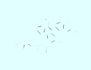 C/C=C(\C=C/C(=C/CC)OC1CCCN(C/C=C/C(=O)NC(C)(C)C)C1)C(=C(/CC(F)(F)F)c1ccccc1)/c1ccc(N)c(/C(F)=C/CC)c1